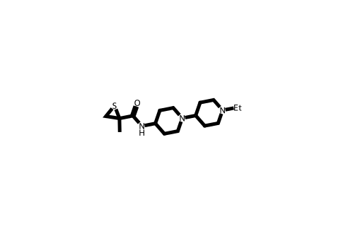 CCN1CCC(N2CCC(NC(=O)C3(C)CS3)CC2)CC1